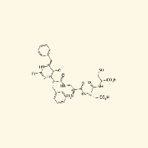 CCC(=O)N[C@@H](Cc1ccccc1)C(=O)N[C@@H](Cc1ccccc1)C(=O)NC[C@H](N)C(=O)N[C@@H](CC(=O)O)C(=O)NC(CS)C(=O)O